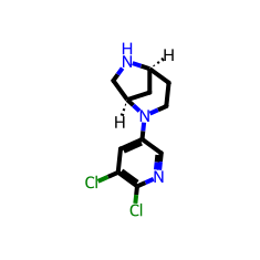 Clc1cc(N2CC[C@H]3C[C@@H]2CN3)cnc1Cl